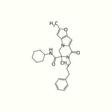 Cc1cc2c(cc3n2CC(C)(C(=O)NC2CCCCC2)N(CCCc2ccccc2)C3=O)o1